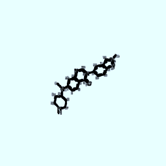 CN(c1ccc2c(=O)n(-c3ccc4nn(C)cc4c3)cnc2c1)C1CCNCC1